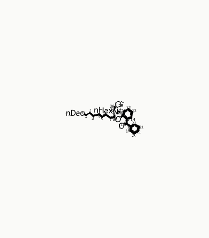 CCCCCCCCCCCCCCCCCC(Oc1ccccc1C(=O)c1ccccc1)[N+](C)(C)CCCCCC.[Cl-]